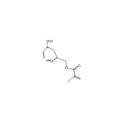 C=CN(C=O)CC(O)COC(=O)C(=C)C